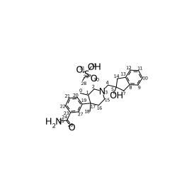 CC1CN(CC2(O)Cc3ccccc3C2)CCC1(C)c1cccc(C(N)=O)c1.CS(=O)(=O)O